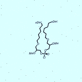 CCCCCCCCCCCCCCCCOCC(COP(=O)(Cl)OCC(COCCCCCCCCCCCCCCCC)OC)OC